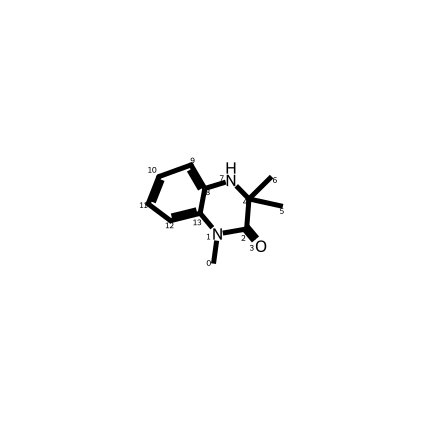 CN1C(=O)C(C)(C)Nc2ccccc21